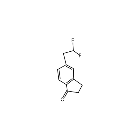 O=C1CCc2cc(CC(F)F)ccc21